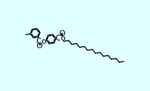 CCCCCCCCCCCCCCC[CH2][Co](=[O])[c]1cc[c]([Co](=[O])[c]2cccc(C)c2)cc1